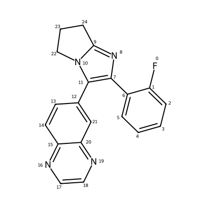 Fc1ccccc1-c1nc2n(c1-c1ccc3nccnc3c1)CCC2